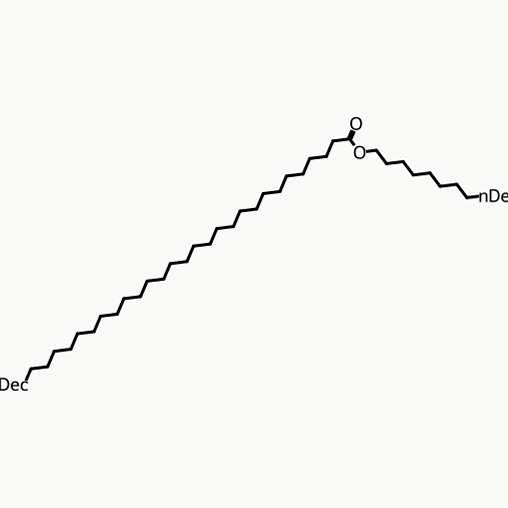 CCCCCCCCCCCCCCCCCCCCCCCCCCCCCCCCCCCCCC(=O)OCCCCCCCCCCCCCCCCCC